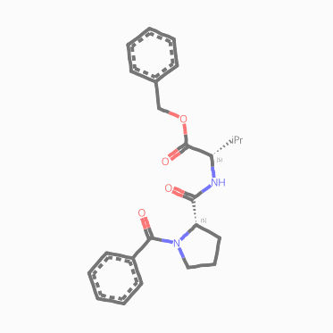 CC(C)[C@H](NC(=O)[C@@H]1CCCN1C(=O)c1ccccc1)C(=O)OCc1ccccc1